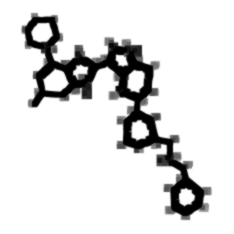 CC1C=C(N2CCCCC2)c2nc(-c3n[nH]c4ccc(-c5cccc(CNCc6ccccc6)c5)nc34)[nH]c2C1